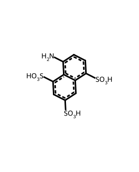 Nc1ccc(S(=O)(=O)O)c2cc(S(=O)(=O)O)cc(S(=O)(=O)O)c12